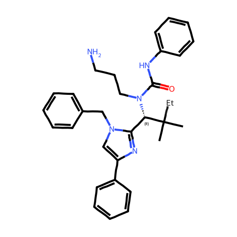 CCC(C)(C)[C@H](c1nc(-c2ccccc2)cn1Cc1ccccc1)N(CCCN)C(=O)Nc1ccccc1